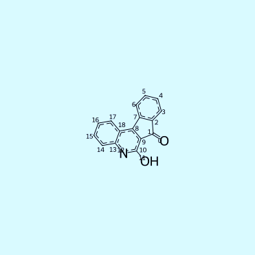 O=C1c2ccccc2-c2c1c(O)nc1ccccc21